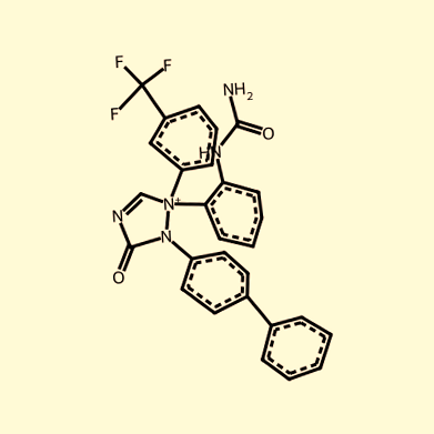 NC(=O)Nc1ccccc1[N+]1(c2cccc(C(F)(F)F)c2)C=NC(=O)N1c1ccc(-c2ccccc2)cc1